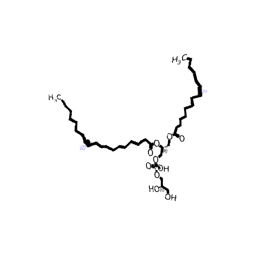 CCCCC/C=C\CCCCCCCC(=O)OC[C@H](COP(=O)(O)OC[C@@H](O)CO)OC(=O)CCCCCCCCC/C=C\CCCCCCCC